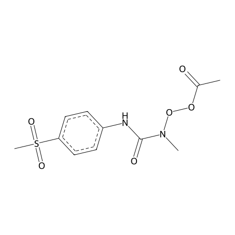 CC(=O)OON(C)C(=O)Nc1ccc(S(C)(=O)=O)cc1